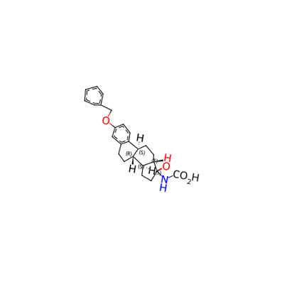 C[C@]12CC[C@@H]3c4ccc(OCc5ccccc5)cc4CC[C@H]3[C@@H]1CC[C@@]2(O)NC(=O)O